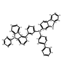 c1ccc(-c2ccc(N(c3cccc(-c4cccc5c4c4ccccc4n5-c4ccccc4)c3)c3ccc4c(c3)oc3ccccc34)cc2)cc1